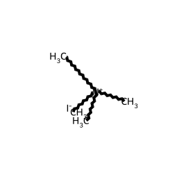 CCCCCCCCCCCCCCCC[N+](CCCCCCCCCC)(CCCCCCCCCC)CCCCCCCCCC.[I-]